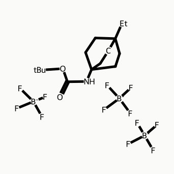 CCC12CCC(NC(=O)OC(C)(C)C)(CC1)CC2.F[B-](F)(F)F.F[B-](F)(F)F.F[B-](F)(F)F